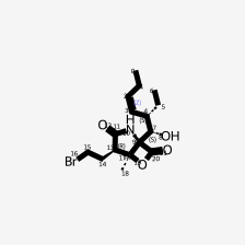 CC/C=C\[C@H](CC)[C@H](O)[C@@]12NC(=O)[C@H](CCBr)[C@]1(C)OC2=O